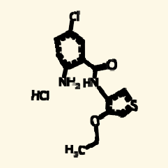 CCOc1cscc1NC(=O)c1cc(Cl)ccc1N.Cl